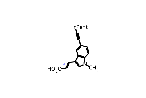 CCCCCC#Cc1ccc2c(c1)c(/C=C/C(=O)O)cn2C